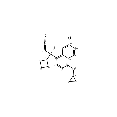 C[C@](N=[N+]=[N-])(c1cnc(OC2CC2)c2cnc(Cl)cc12)C1CCC1